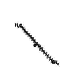 BCCCCCCCCCCCCCCCCC(=O)CCCCCCCCCCCCCCCCC